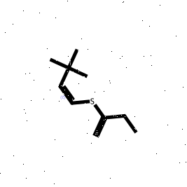 C=C(CC)S/C=C\C(C)(C)C